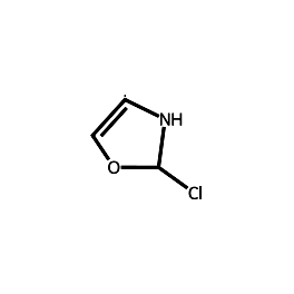 ClC1N[C]=CO1